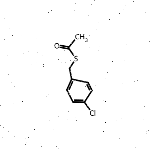 CC(=O)SCc1ccc(Cl)cc1